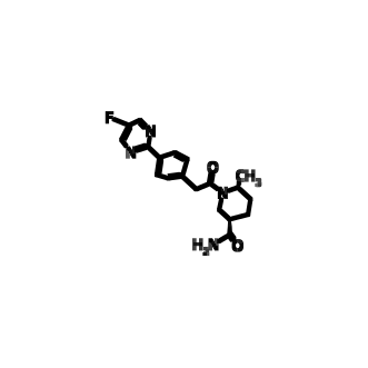 C[C@H]1CC[C@@H](C(N)=O)CN1C(=O)Cc1ccc(-c2ncc(F)cn2)cc1